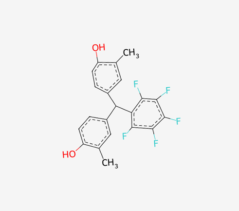 Cc1cc(C(c2ccc(O)c(C)c2)c2c(F)c(F)c(F)c(F)c2F)ccc1O